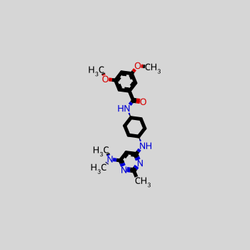 COc1cc(OC)cc(C(=O)N[C@H]2CC[C@@H](Nc3cc(N(C)C)nc(C)n3)CC2)c1